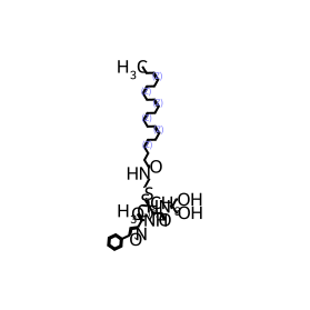 CC/C=C\C/C=C\C/C=C\C/C=C\C/C=C\C/C=C\CCC(=O)NCCSSC(C)(C)[C@H](NC(=O)c1cc(-c2ccccc2)on1)C(=O)NC(CO)CO